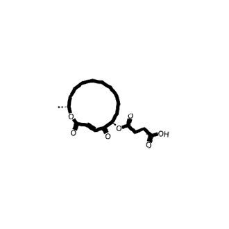 C[C@@H]1CCCCCCCCC[C@H](OC(=O)CCC(=O)O)C(=O)/C=C/C(=O)O1